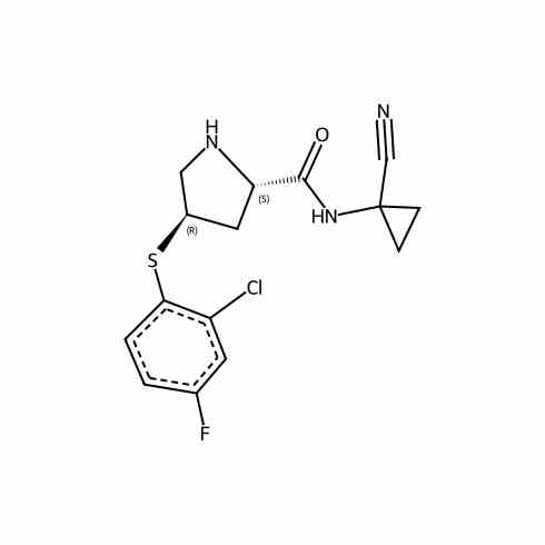 N#CC1(NC(=O)[C@@H]2C[C@@H](Sc3ccc(F)cc3Cl)CN2)CC1